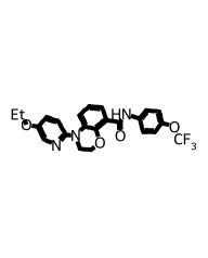 CCOc1ccc(N2CCOc3c(C(=O)Nc4ccc(OC(F)(F)F)cc4)cccc32)nc1